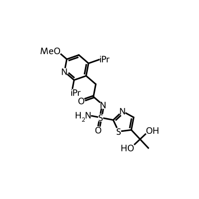 COc1cc(C(C)C)c(CC(=O)N=S(N)(=O)c2ncc(C(C)(O)O)s2)c(C(C)C)n1